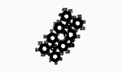 c1ccc([Si](c2ccccc2)(c2ccccc2)c2ccc3sc4ccc([Si](c5ccccc5)(c5ccccc5)c5ccccc5)nc4c3c2)cc1